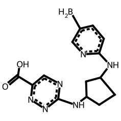 Bc1ccc(NC2CCC(Nc3ncc(C(=O)O)nn3)C2)nc1